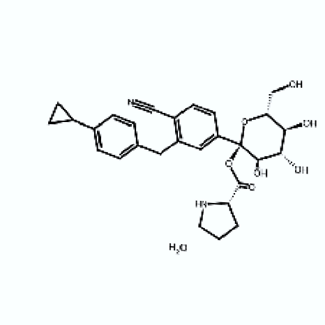 N#Cc1ccc([C@]2(OC(=O)[C@@H]3CCCN3)O[C@H](CO)[C@@H](O)[C@H](O)[C@H]2O)cc1Cc1ccc(C2CC2)cc1.O